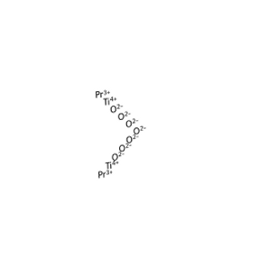 [O-2].[O-2].[O-2].[O-2].[O-2].[O-2].[O-2].[Pr+3].[Pr+3].[Ti+4].[Ti+4]